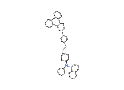 C(=Cc1ccc(N(c2ccccc2)c2cccc3ccccc23)cc1)c1ccc(-c2ccc3c4ccccc4c4ccccc4c3c2)cc1